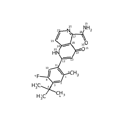 Cc1cc(C(C)(C)C)c(F)cc1-c1cc(=O)c2c(C(N)=O)nccc2[nH]1